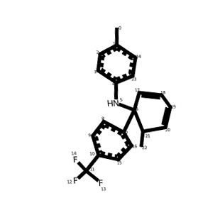 Cc1ccc(NC2(c3ccc(C(F)(F)F)cc3)C=CC=CC2C)cc1